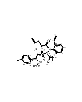 C=CCCC(=O)N(c1c(F)cccc1C=C)N(C(=N)N)S(=O)(=O)[C@@H](C)[C@@H](OC(C)C)c1ncc(C)cn1